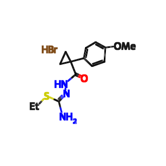 Br.CCSC(N)=NNC(=O)C1(c2ccc(OC)cc2)CC1